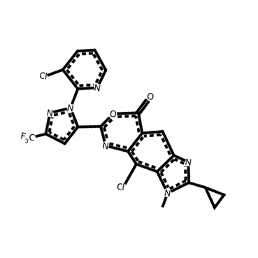 Cn1c(C2CC2)nc2cc3c(=O)oc(-c4cc(C(F)(F)F)nn4-c4ncccc4Cl)nc3c(Cl)c21